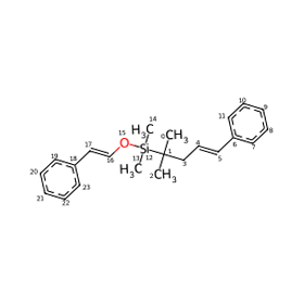 CC(C)(CC=Cc1ccccc1)[Si](C)(C)OC=Cc1ccccc1